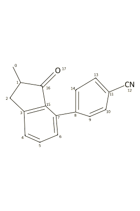 CC1Cc2cccc(-c3ccc(C#N)cc3)c2C1=O